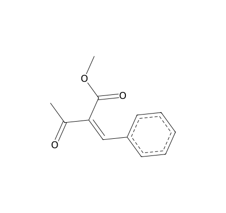 COC(=O)C(=Cc1ccccc1)C(C)=O